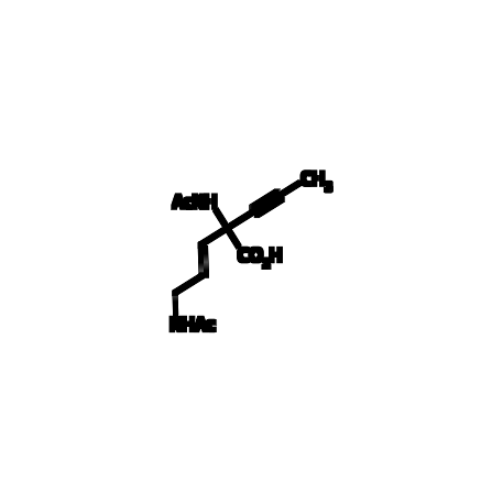 CC#CC(C=CCNC(C)=O)(NC(C)=O)C(=O)O